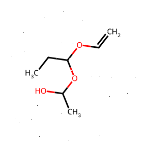 C=COC(CC)OC(C)O